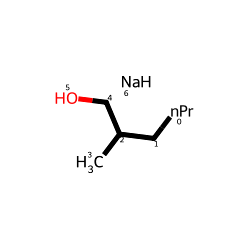 CCCCC(C)CO.[NaH]